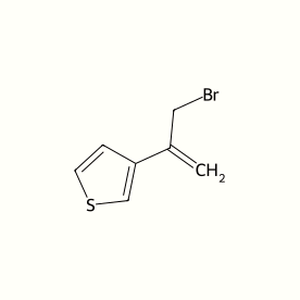 C=C(CBr)c1ccsc1